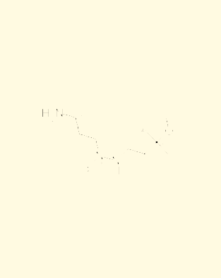 CCOC(C)(C)CCNN(C)CCCN